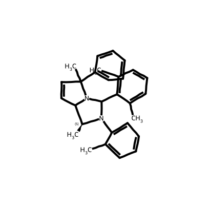 Cc1ccccc1N1C(c2c(C)cccc2C)N2C(C=CC2(C)c2ccccc2)[C@@H]1C